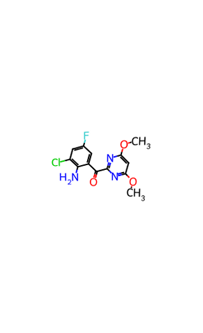 COc1cc(OC)nc(C(=O)c2cc(F)cc(Cl)c2N)n1